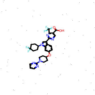 O=C(O)c1cnc(-c2cn(C3CCC(F)(F)CC3)c3cc(OC4CCN(c5ncccn5)CC4)ccc23)nc1C(F)(F)F